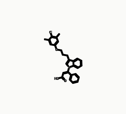 Cc1cc(OCCCc2cn(/C(=C/C(=O)O)c3ccccc3)c3ccccc23)cc(C)c1Cl